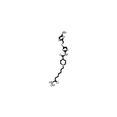 CC(C)(C)c1cnc(CSc2cnc(NC(=O)C3CCN(CCCCCCC(=O)NO)CC3)s2)o1